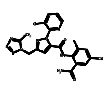 Cc1cc(C#N)cc(C(N)=O)c1NC(=O)c1cc(Cn2nnnc2C(F)(F)F)nn1-c1ncccc1Cl